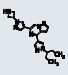 CCC(CC)n1cc(-c2nc(-c3cnn(C4CNC4)c3)cn3nccc23)cn1